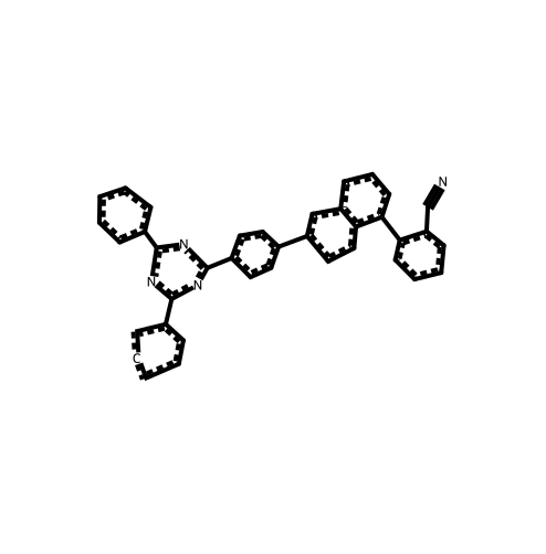 N#Cc1ccccc1-c1cccc2cc(-c3ccc(-c4nc(-c5ccccc5)nc(-c5ccccc5)n4)cc3)ccc12